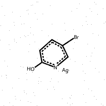 Oc1ccc(Br)cn1.[Ag]